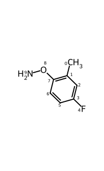 Cc1cc(F)ccc1ON